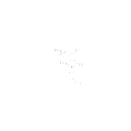 O=P(O)(O)Sc1cc(O)cc(O)c1C(O)(O)Cc1ccc(O)cc1